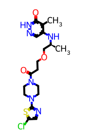 Cc1c(N[C@@H](C)COCCC(=O)N2CCN(c3ncc(Cl)s3)CC2)cn[nH]c1=O